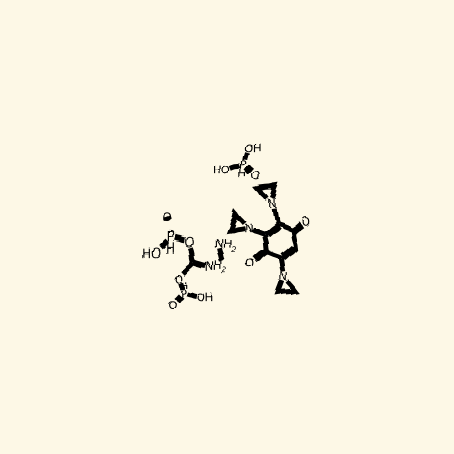 CN.NC(O[PH](=O)O)O[PH](=O)O.O=C1C=C(N2CC2)C(=O)C(N2CC2)=C1N1CC1.O=[PH](O)O